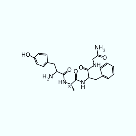 C[C@@H](NC(=O)C(N)Cc1ccc(O)cc1)C(=O)NC(Cc1ccccc1)C(=O)NCC(N)=O